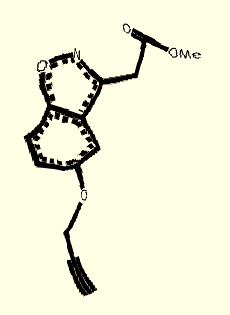 C#CCOc1ccc2onc(CC(=O)OC)c2c1